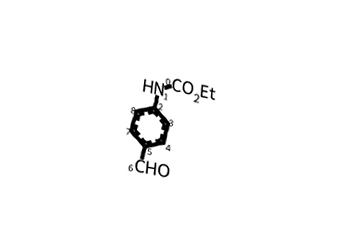 CCOC(=O)Nc1ccc(C=O)cc1